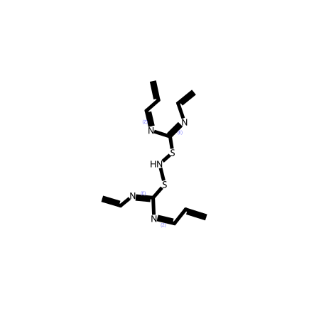 C=C/C=N\C(=N/C=C)SNSC(/N=C\C=C)=N/C=C